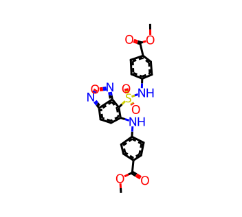 COC(=O)c1ccc(Nc2ccc3nonc3c2S(=O)(=O)Nc2ccc(C(=O)OC)cc2)cc1